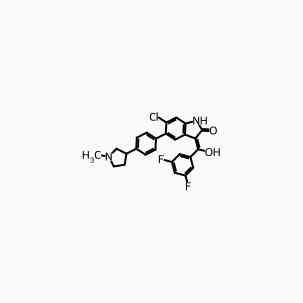 CN1CCC(c2ccc(-c3cc4c(cc3Cl)NC(=O)/C4=C(\O)c3cc(F)cc(F)c3)cc2)C1